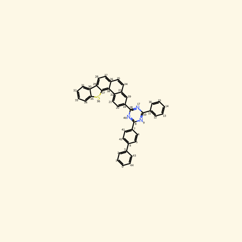 c1ccc(-c2ccc(-c3nc(-c4ccccc4)nc(-c4ccc5c(ccc6ccc7c8ccccc8sc7c65)c4)n3)cc2)cc1